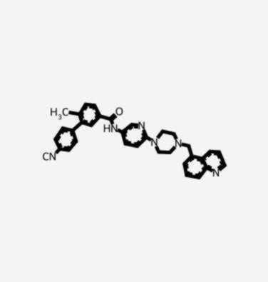 [C-]#[N+]c1ccc(-c2cc(C(=O)Nc3ccc(N4CCN(Cc5cccc6ncccc56)CC4)nc3)ccc2C)cc1